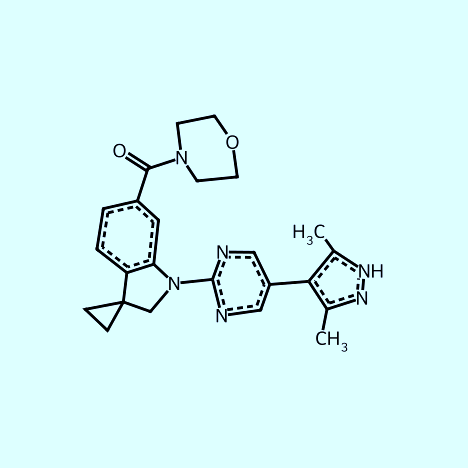 Cc1n[nH]c(C)c1-c1cnc(N2CC3(CC3)c3ccc(C(=O)N4CCOCC4)cc32)nc1